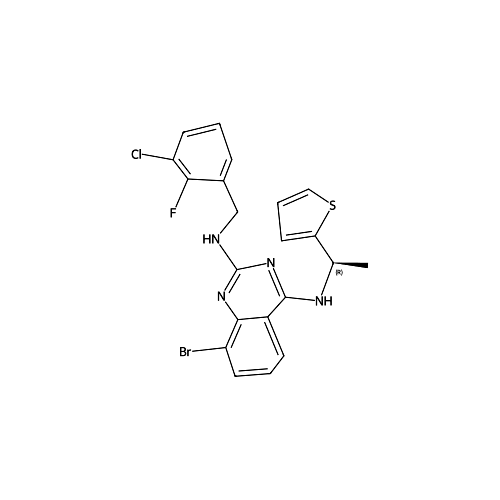 C[C@@H](Nc1nc(NCc2cccc(Cl)c2F)nc2c(Br)cccc12)c1cccs1